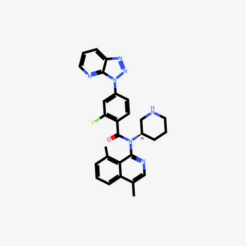 Cc1cnc(N(C(=O)c2ccc(-n3nnc4cccnc43)cc2F)[C@@H]2CCCNC2)c2c(C)cccc12